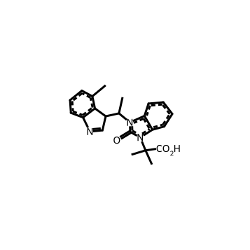 Cc1cccc2c1C(C(C)n1c(=O)n(C(C)(C)C(=O)O)c3ccccc31)C=N2